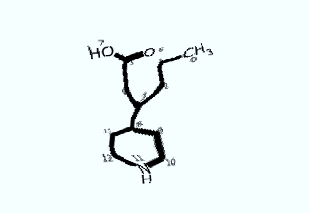 CCCC(CC(=O)O)C1CCNCC1